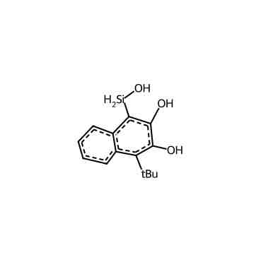 CC(C)(C)c1c(O)c(O)c([SiH2]O)c2ccccc12